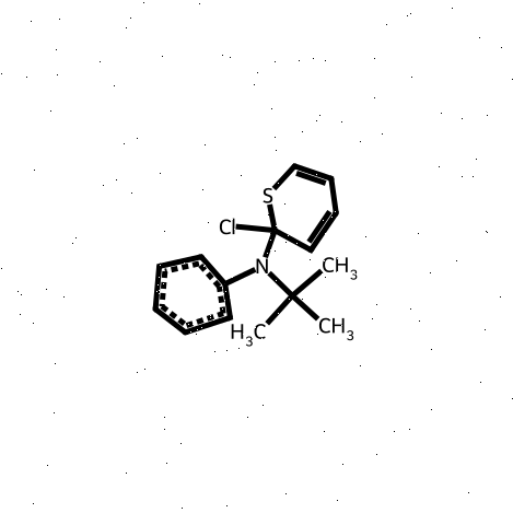 CC(C)(C)N(c1ccccc1)C1(Cl)C=CC=CS1